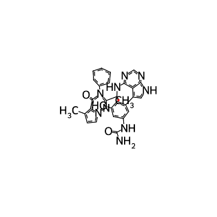 Cc1ccn2nc([C@H](C)Nc3ncnc4[nH]cc(-c5cc(O)cc(NC(N)=O)c5)c34)n(-c3ccccc3)c(=O)c12